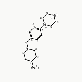 NC1CCN(Cc2ccc(N3CCNCC3)nc2)CC1